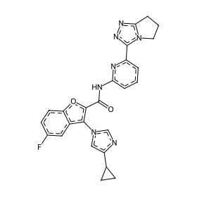 O=C(Nc1cccc(-c2nnc3n2CCC3)n1)c1oc2ccc(F)cc2c1-n1cnc(C2CC2)c1